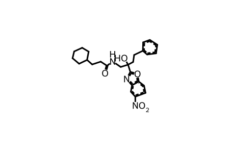 O=C(CCC1CCCCC1)NCC(O)(CCc1ccccc1)c1nc2cc([N+](=O)[O-])ccc2o1